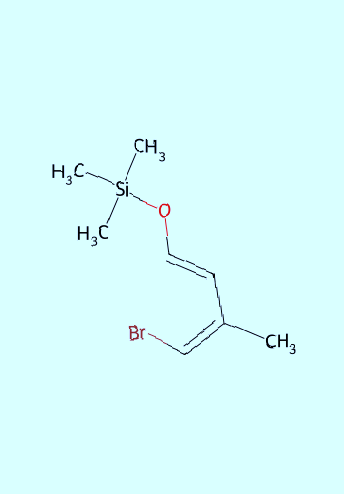 CC(C=CO[Si](C)(C)C)=CBr